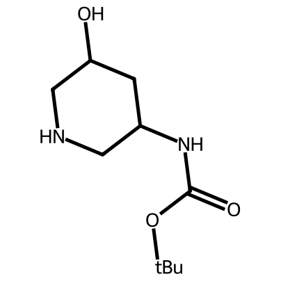 CC(C)(C)OC(=O)NC1CNCC(O)C1